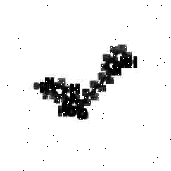 Cn1cc2cc(C(=O)N[C@@H](CCCCCCCc3ccc4c(n3)NCCC4)C(=O)O)ccc2n1